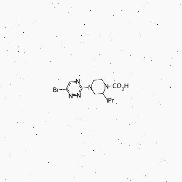 CC(C)C1CN(c2ncc(Br)nn2)CCN1C(=O)O